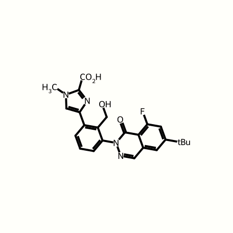 Cn1cc(-c2cccc(-n3ncc4cc(C(C)(C)C)cc(F)c4c3=O)c2CO)nc1C(=O)O